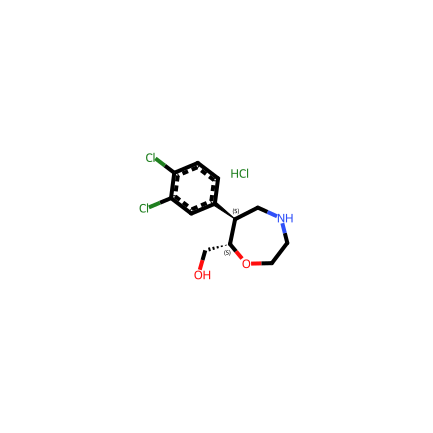 Cl.OC[C@H]1OCCNC[C@@H]1c1ccc(Cl)c(Cl)c1